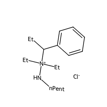 CCCCCN[N+](CC)(CC)C(CC)c1ccccc1.[Cl-]